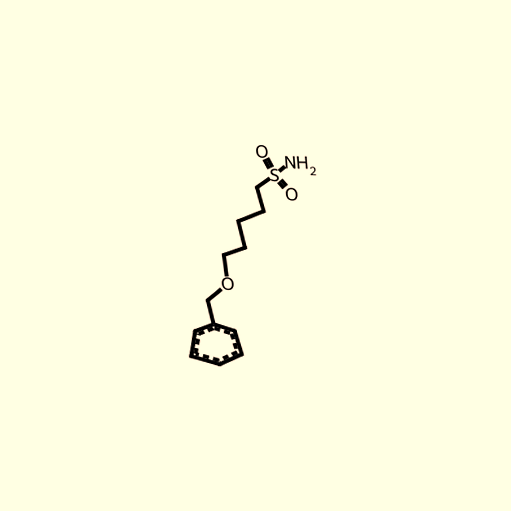 NS(=O)(=O)CCCCCOCc1ccccc1